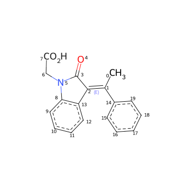 C/C(=C1\C(=O)N(CC(=O)O)c2ccccc21)c1ccccc1